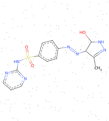 CC1=NNC(O)C1/N=N/c1ccc(S(=O)(=O)Nc2ncccn2)cc1